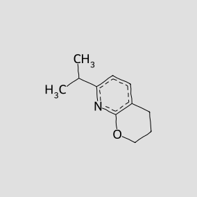 CC(C)c1ccc2c(n1)OCCC2